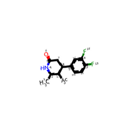 CC(=O)C1C(C)NC(=O)CC1c1ccc(F)c(F)c1